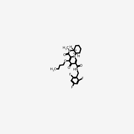 CCCCOc1c2n(cc(C(=O)NCc3c(F)cc(F)cc3F)c1=O)[C@@H]1CCCC[C@H]1N(C)C2=O